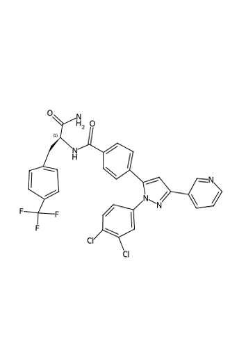 NC(=O)[C@H](Cc1ccc(C(F)(F)F)cc1)NC(=O)c1ccc(-c2cc(-c3cccnc3)nn2-c2ccc(Cl)c(Cl)c2)cc1